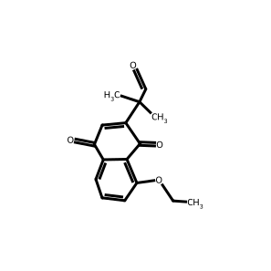 CCOc1cccc2c1C(=O)C(C(C)(C)C=O)=CC2=O